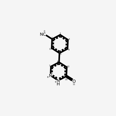 N#Cc1cccc(-c2cn[nH]c(=O)c2)c1